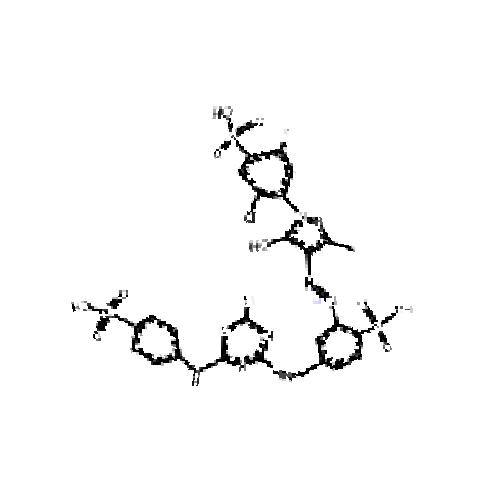 Cc1nn(-c2cc(Cl)c(S(=O)(=O)O)cc2Cl)c(O)c1/N=N/c1cc(Nc2nc(Cl)nc(Nc3ccc(S(=O)(=O)O)cc3)n2)ccc1S(=O)(=O)O